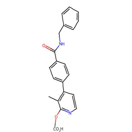 Cc1c(-c2ccc(C(=O)NCc3ccccc3)cc2)ccnc1OC(=O)O